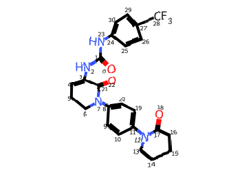 O=C(NC1=CCCN(c2ccc(N3CCCCC3=O)cc2)C1=O)Nc1ccc(C(F)(F)F)cc1